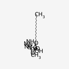 CCCCCCCCCCCCCCCCCCOCCOP(=O)(O)CO[C@@H](COC)Cn1cnc2c(N)ncnc21